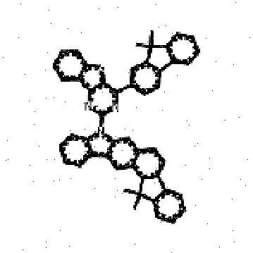 CC1(C)c2ccccc2-c2ccc(-c3nc(-n4c5ccccc5c5cc6c7c(ccc6cc54)-c4ccccc4C7(C)C)nc4c3sc3ccccc34)cc21